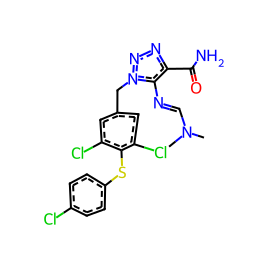 CN(C)C=Nc1c(C(N)=O)nnn1Cc1cc(Cl)c(Sc2ccc(Cl)cc2)c(Cl)c1